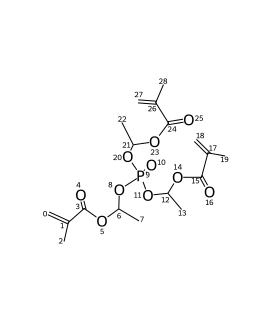 C=C(C)C(=O)OC(C)OP(=O)(OC(C)OC(=O)C(=C)C)OC(C)OC(=O)C(=C)C